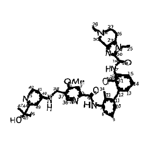 COc1cc(C(=O)Nc2cccc(-c3cccc(NC(=O)c4nc5c(n4C)CCN(C)C5)c3Cl)c2C)ncc1CNc1ccnc(C(C)(C)O)c1